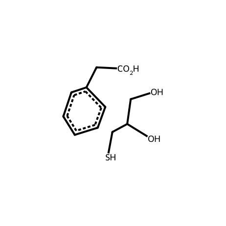 O=C(O)Cc1ccccc1.OCC(O)CS